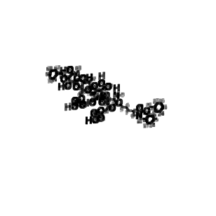 CNC1[C@@H](OCCCCCN(Cc2ccccc2)C(=O)OCc2ccccc2)OC(COS(=O)(=O)O)[C@@H](O[C@@H]2OC(C(=O)O)[C@@H](O[C@H]3OC(COS(=O)(=O)O)[C@@H](O[C@@H]4OC(C)[C@@H](O)[C@@H](OCc5ccccc5)C4O)[C@H](O)C3C)[C@H](C)C2O)[C@@H]1O